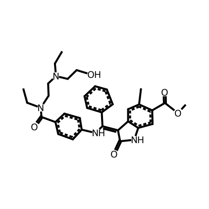 CCN(CCO)CCN(CC)C(=O)c1ccc(N/C(=C2\C(=O)Nc3cc(C(=O)OC)c(C)cc32)c2ccccc2)cc1